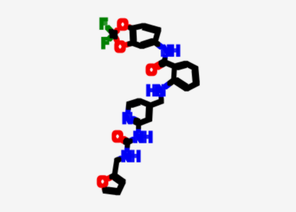 O=C(NCc1ccco1)Nc1cc(CNc2ccccc2C(=O)Nc2ccc3c(c2)OC(F)(F)O3)ccn1